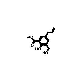 C=CCc1cc(CO)c(O)c(C(=O)OC)c1